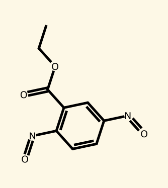 CCOC(=O)c1cc(N=O)ccc1N=O